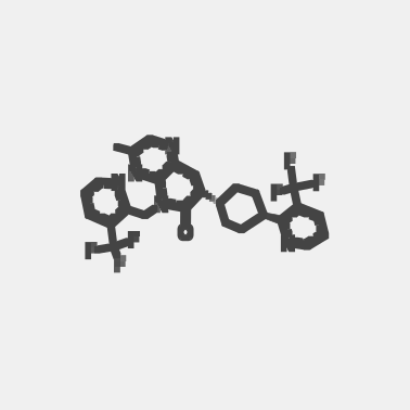 Cc1cnc2cc([C@H]3CC[C@H](c4ncccc4C(F)(F)F)CC3)c(=O)n(Cc3ncccc3C(F)(F)F)c2n1